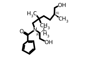 C[C@H](CO)CCC(C)(C)CN(C(=O)c1ccccc1)[C@H](C)CO